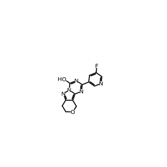 Oc1nc(-c2cncc(F)c2)nc2c3c(nn12)CCOC3